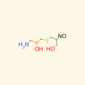 NCP(O)CSCC(CO)N=O